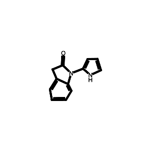 O=C1Cc2ccccc2N1c1ccc[nH]1